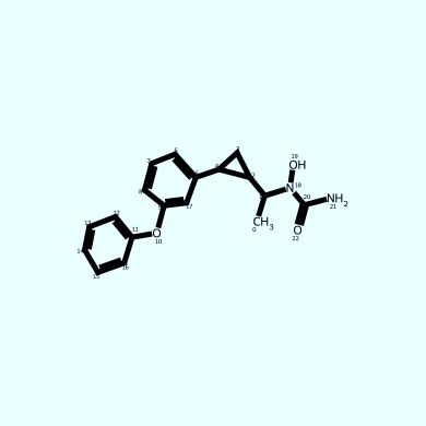 CC(C1CC1c1cccc(Oc2ccccc2)c1)N(O)C(N)=O